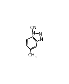 Cc1ccc2c(c1)nnn2C#N